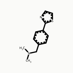 CN(C)Cc1ccc(-c2n[c]cs2)cc1